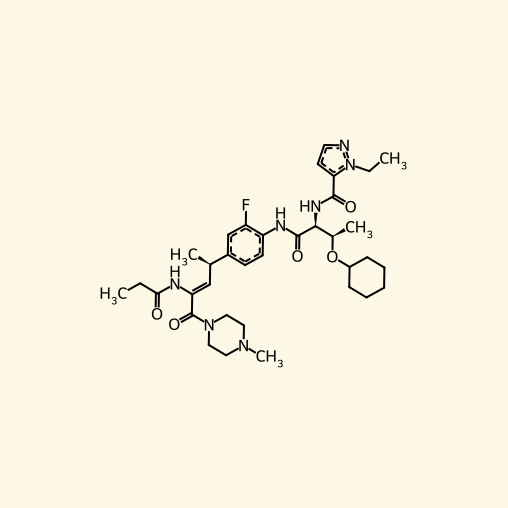 CCC(=O)NC(=C[C@@H](C)c1ccc(NC(=O)[C@@H](NC(=O)c2ccnn2CC)[C@@H](C)OC2CCCCC2)c(F)c1)C(=O)N1CCN(C)CC1